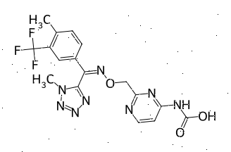 Cc1ccc(C(=NOCc2nccc(NC(=O)O)n2)c2nnnn2C)cc1C(F)(F)F